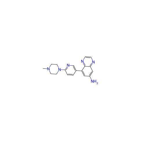 CN1CCN(c2ccc(-c3cc(N)cc4nccnc34)cn2)CC1